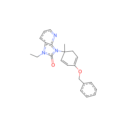 CCn1c(=O)n(C2(C)C=CC(OCc3ccccc3)=CC2)c2ncccc21